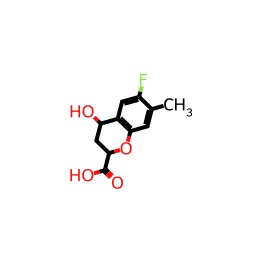 Cc1cc2c(cc1F)C(O)CC(C(=O)O)O2